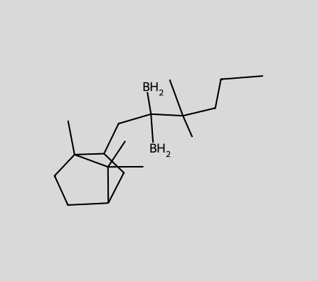 BC(B)(CC1CC2CCC1(C)C2(C)C)C(C)(C)CCC